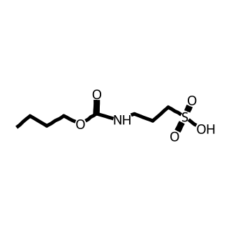 CCCCOC(=O)NCCCS(=O)(=O)O